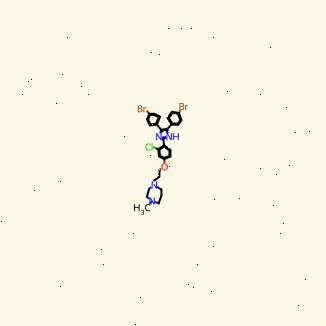 CN1CCCN(CCCOc2ccc(-c3nc(-c4ccc(Br)cc4)c(-c4ccc(Br)cc4)[nH]3)c(Cl)c2)CC1